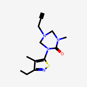 C#CCN1CN(C)C(=O)N(c2snc(CC)c2C)C1